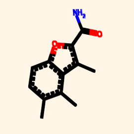 Cc1ccc2oc(C(N)=O)c(C)c2c1C